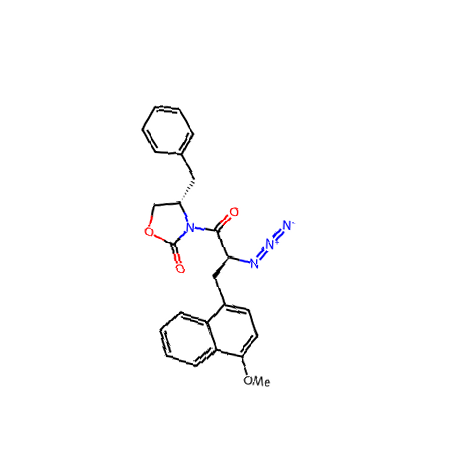 COc1ccc(C[C@H](N=[N+]=[N-])C(=O)N2C(=O)OC[C@@H]2Cc2ccccc2)c2ccccc12